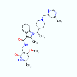 COc1cc(C)[nH]c(=O)c1CNC(=O)c1c(C)n([C@H](C)C2CCN(Cc3cc(C)ncn3)CC2)c2ccccc12